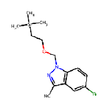 C[Si](C)(C)CCOCn1nc(C#N)c2cc(Br)ccc21